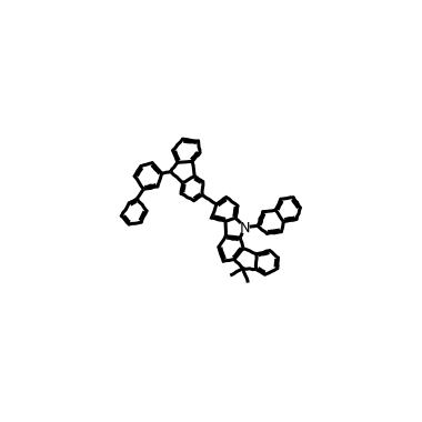 CC1(C)c2ccccc2-c2c1ccc1c3cc(-c4ccc5c(c4)-c4ccccc4C5c4cccc(-c5ccccc5)c4)ccc3n(-c3ccc4ccccc4c3)c21